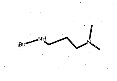 CCC(C)NCCCN(C)C